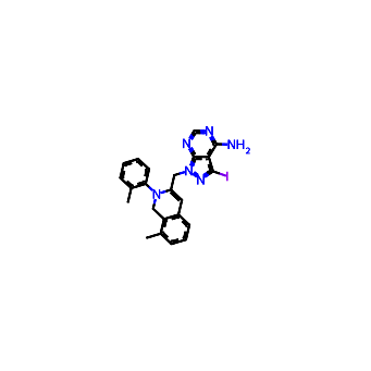 Cc1ccccc1N1Cc2c(C)cccc2C=C1Cn1nc(I)c2c(N)ncnc21